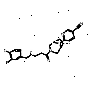 C[C@H]1CC2CN(C(=O)CCNCc3ccc(F)c(F)c3)CC1N2c1ccc(C#N)cn1